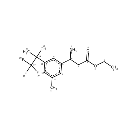 CCOC(=O)C[C@H](N)c1cc(C)cc(C(C)(O)C(F)(F)F)c1